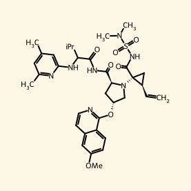 C=C[C@@H]1C[C@@]1(C(=O)NS(=O)(=O)N(C)C)N1C[C@H](Oc2nccc3cc(OC)ccc23)C[C@H]1C(=O)NC(=O)C(Nc1cc(C)cc(C)n1)C(C)C